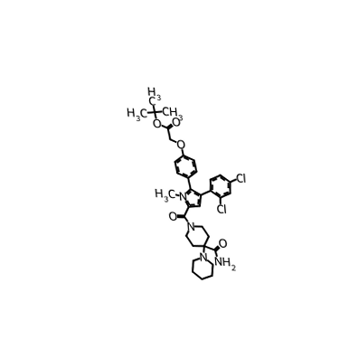 Cn1c(C(=O)N2CCC(C(N)=O)(N3CCCCC3)CC2)cc(-c2ccc(Cl)cc2Cl)c1-c1ccc(OCC(=O)OC(C)(C)C)cc1